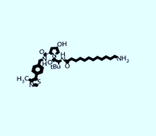 Cc1ncsc1-c1ccc(CNC(=O)[C@@H]2C[C@@H](O)CN2C(=O)[C@@H](NC(=O)CCCCCCCCCCCN)C(C)(C)C)cc1